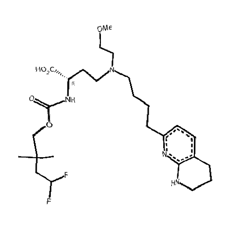 COCCN(CCCCc1ccc2c(n1)NCCC2)CC[C@H](NC(=O)OCC(C)(C)CC(F)F)C(=O)O